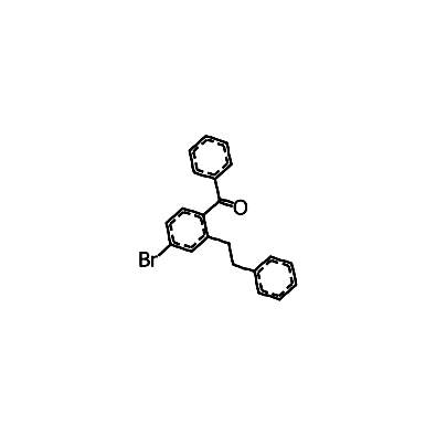 O=C(c1ccccc1)c1ccc(Br)cc1CCc1ccccc1